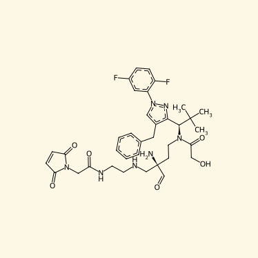 CC(C)(C)[C@H](c1nn(-c2cc(F)ccc2F)cc1Cc1ccccc1)N(CC[C@](N)(C=O)CNCCNC(=O)CN1C(=O)C=CC1=O)C(=O)CO